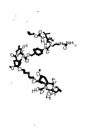 C=CCOC(=O)N[C@H](c1cn([C@@H](CCCNC(N)=O)C(=O)Nc2ccc(COC(=O)N3C[C@H]4[C@@H](O)C(=C)CN4C(=O)c4cc(OC)c(OCCCCCOc5cc6c(cc5OC)C(=O)N5CC(=C)C[C@H]5[C@H](O)N6C(=O)O)cc43)cc2)nn1)C(C)C